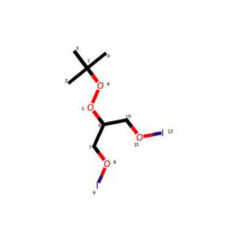 CC(C)(C)OOC(COI)COI